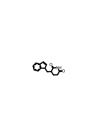 O=C1CCC(CC2C=Cc3ccccc32)C(=O)N1